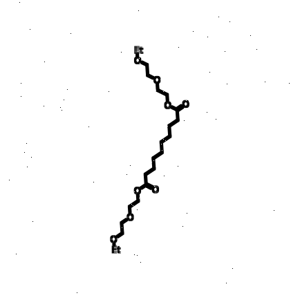 CCOCCOCCOC(=O)CCCCCCCCC(=O)OCCOCCOCC